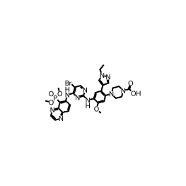 CCn1cc(-c2cc(Nc3ncc(Br)c(Nc4ccc5nccnc5c4P(=O)(OC)OC)n3)c(OC)cc2N2CCN(C(=O)O)CC2)cn1